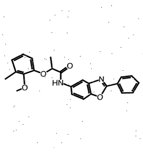 COc1c(C)cccc1OC(C)C(=O)Nc1ccc2oc(-c3ccccc3)nc2c1